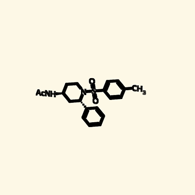 CC(=O)N[C@H]1CCN(S(=O)(=O)c2ccc(C)cc2)[C@H](c2ccccc2)C1